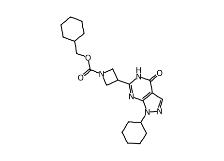 O=C(OCC1CCCCC1)N1CC(c2nc3c(cnn3C3CCCCC3)c(=O)[nH]2)C1